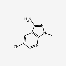 Cn1nc(N)c2cc(Cl)cnc21